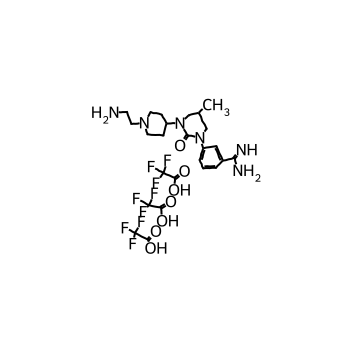 CC1CN(c2cccc(C(=N)N)c2)C(=O)N(C2CCN(CCN)CC2)C1.O=C(O)C(F)(F)F.O=C(O)C(F)(F)F.O=C(O)C(F)(F)F